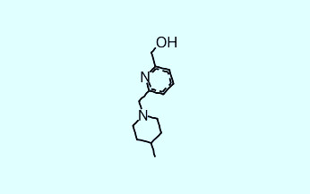 CC1CCN(Cc2cccc(CO)n2)CC1